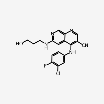 N#Cc1cnc2cnc(NCCCO)cc2c1Nc1ccc(F)c(Cl)c1